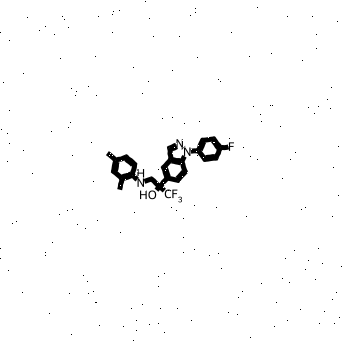 Cc1ccc(NCC(O)(c2ccc3c(cnn3-c3ccc(F)cc3)c2)C(F)(F)F)c(C)c1